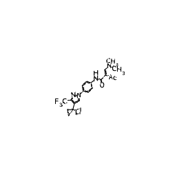 CC(=O)C(=CN(C)C)C(=O)Nc1ccc(-n2cc(C3(Cl)CC3)c(C(F)(F)F)n2)cc1